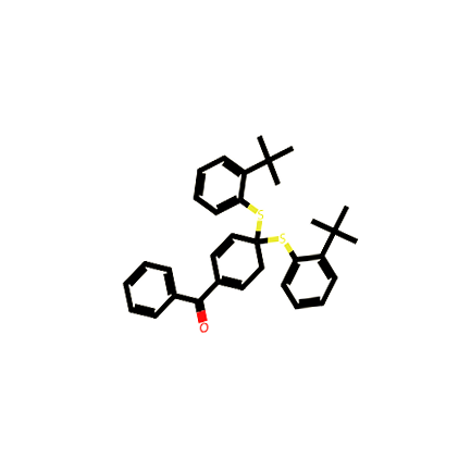 CC(C)(C)c1ccccc1SC1(Sc2ccccc2C(C)(C)C)C=CC(C(=O)c2ccccc2)=CC1